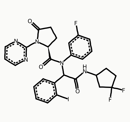 O=C(NC1CCC(F)(F)C1)C(c1ccccc1I)N(C(=O)[C@@H]1CCC(=O)N1c1ncccn1)c1cccc(F)c1